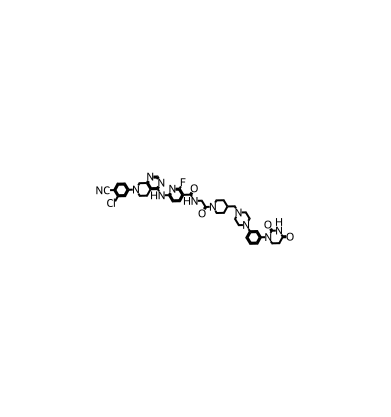 N#Cc1ccc(N2CCc3c(ncnc3Nc3ccc(C(=O)NCC(=O)N4CCC(CN5CCN(c6cccc(N7CCC(=O)NC7=O)c6)CC5)CC4)c(F)n3)C2)cc1Cl